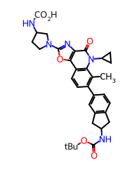 Cc1c(-c2ccc3c(c2)CC(NC(=O)OC(C)(C)C)C3)ccc2c3oc(N4CCC(NC(=O)O)C4)nc3c(=O)n(C3CC3)c12